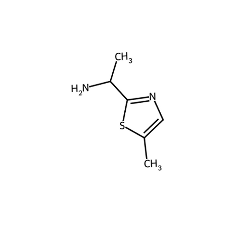 Cc1cnc(C(C)N)s1